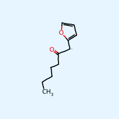 CCCCCC(=O)[CH]c1ccco1